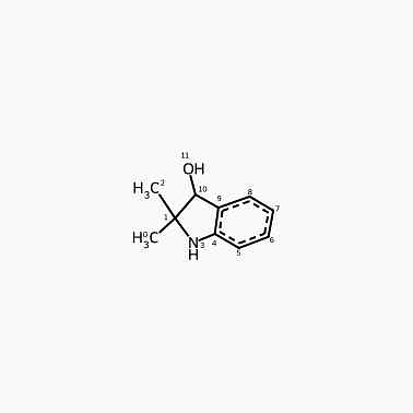 CC1(C)Nc2ccccc2C1O